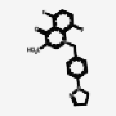 O=C(O)c1cn(Cc2ccc(N3CCC=N3)cc2)c2c(F)ccc(F)c2c1=O